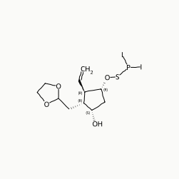 C=C[C@@H]1[C@@H](CC2OCCO2)[C@@H](O)C[C@H]1OSP(I)I